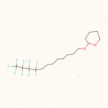 FC(F)(F)C(F)(F)C(F)(F)C(F)(F)CCCCCCCCOC1CCCCO1